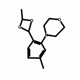 Cc1ccc(C2OC(C)O2)c(N2CCOCC2)c1